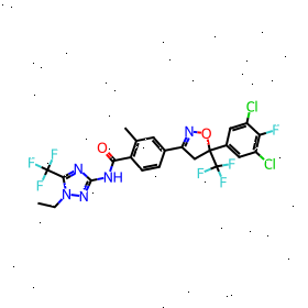 CCn1nc(NC(=O)c2ccc(C3=NOC(c4cc(Cl)c(F)c(Cl)c4)(C(F)(F)F)C3)cc2C)nc1C(F)(F)F